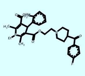 CCN1C(C)=C(C(=O)OC)C(c2ccccc2[N+](=O)[O-])C(C(=O)OCCN2CCC(C(=O)c3ccc(F)cc3)CC2)=C1C